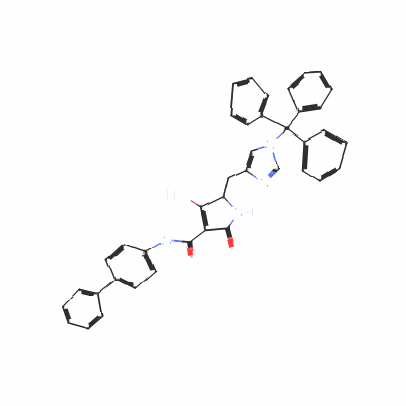 O=C(Nc1ccc(-c2ccccc2)cc1)C1=C(O)C(Cc2cn(C(c3ccccc3)(c3ccccc3)c3ccccc3)cn2)NC1=O